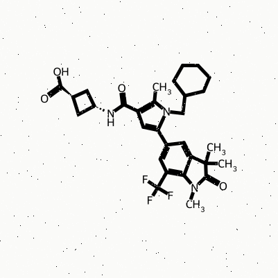 Cc1c(C(=O)N[C@H]2C[C@H](C(=O)O)C2)cc(-c2cc(C(F)(F)F)c3c(c2)C(C)(C)C(=O)N3C)n1CC1CCCCC1